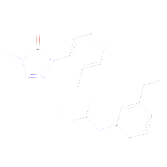 CCc1cccc(N=C(SC)SCc2c(C)cccc2-n2nnn(C)c2=O)c1